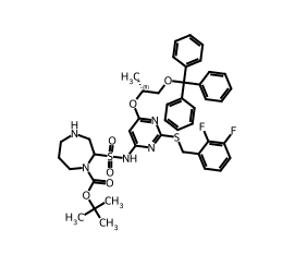 C[C@H](COC(c1ccccc1)(c1ccccc1)c1ccccc1)Oc1cc(NS(=O)(=O)C2CNCCCN2C(=O)OC(C)(C)C)nc(SCc2cccc(F)c2F)n1